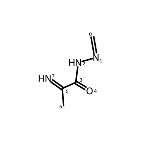 C=NNC(=O)C(C)=N